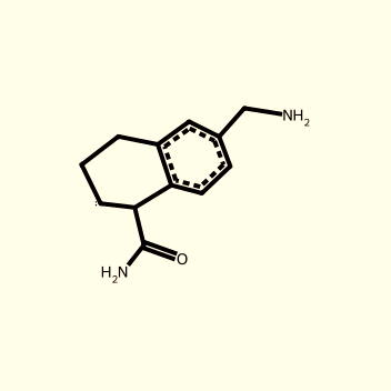 NCc1ccc2c(c1)CC[C]C2C(N)=O